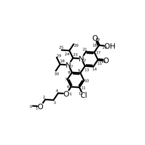 COCCCOc1cc2c(cc1Cl)-c1cc(=O)c(C(=O)O)cn1C(C(C)C)N2C(C)C